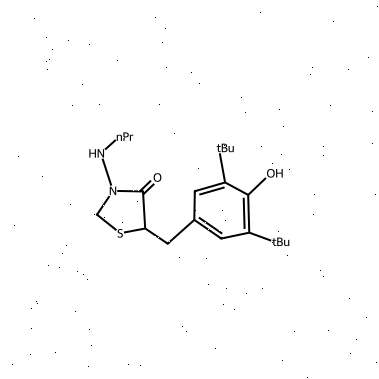 CCCNN1CSC(Cc2cc(C(C)(C)C)c(O)c(C(C)(C)C)c2)C1=O